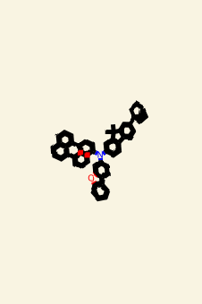 CC1(C)c2cc(N(c3ccc(-c4cccc5cccc(-c6ccccc6)c45)cc3)c3ccc4c(c3)oc3ccccc34)ccc2-c2ccc(C34CCC(CC3)C4)cc21